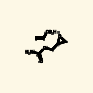 C=CC(=O)O.NC(=O)OCC1CO1